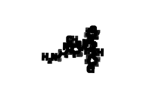 Cn1nc(CCCN)c2ccc(-c3cc(Nc4ccc(Cl)cc4)nc(N4CCOCC4)n3)cc21